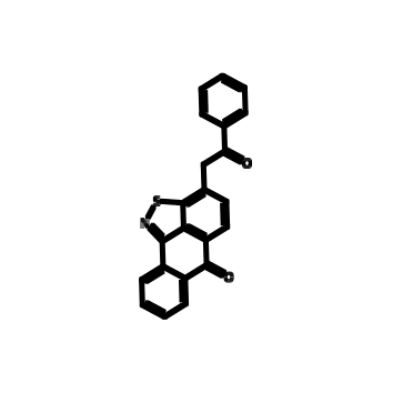 O=C(Cc1ccc2c3c(nsc13)-c1ccccc1C2=O)c1ccccc1